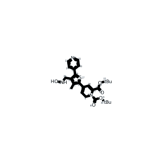 Cc1c(C2=CCN(C(=O)OC(C)(C)C)C(C(=O)OC(C)(C)C)=C2)sc(-c2ccncc2)c1CNO